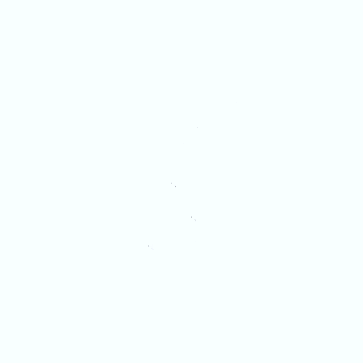 Cc1cncc(-n2c(C)cc(C(=O)CCl)c2C)n1